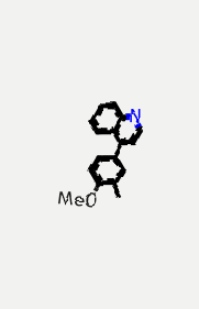 COc1ccc(-c2ccnc3ccccc23)cc1C